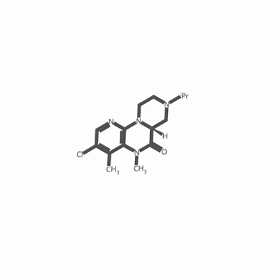 Cc1c(Cl)cnc2c1N(C)C(=O)[C@H]1CN(C(C)C)CCN21